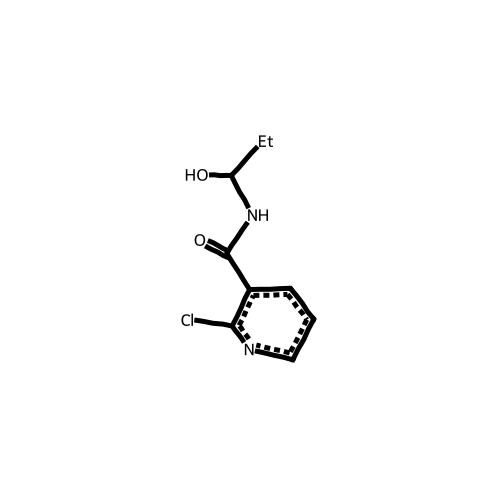 CCC(O)NC(=O)c1cccnc1Cl